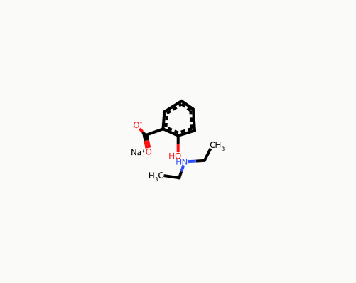 CCNCC.O=C([O-])c1ccccc1O.[Na+]